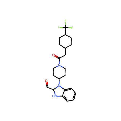 O=CC1Nc2ccccc2N1C1CCN(C(=O)CC2CCC(C(F)(F)F)CC2)CC1